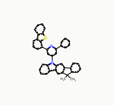 CC1(C)c2ccccc2-c2cc3c(cc21)c1ccccc1n3-c1cc(-c2ccccc2)nc(-c2cccc3c2sc2ccccc23)c1